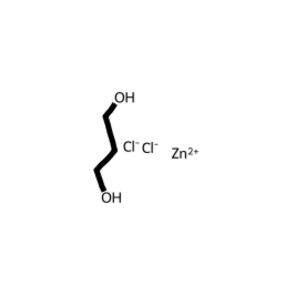 OCCCO.[Cl-].[Cl-].[Zn+2]